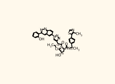 Cc1ncsc1-c1ccc([C@H](C)NC(=O)[C@@H]2C[C@@H](O)CN2C(=O)[C@@H](c2cn(-c3ccc4nnc(-c5ccccc5O)cc4c3)nn2)C(C)C)cc1